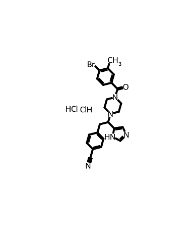 Cc1cc(C(=O)N2CCN(C(Cc3ccc(C#N)cc3)c3cnc[nH]3)CC2)ccc1Br.Cl.Cl